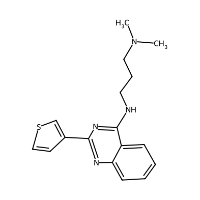 CN(C)CCCNc1nc(-c2ccsc2)nc2ccccc12